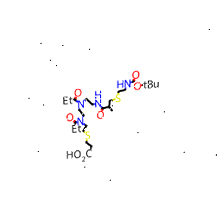 CCC(=O)N(CCNC(=O)C(C)CSCCNC(=O)OC(C)(C)C)CCN(CCSCCC(=O)O)C(=O)CC